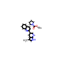 Cc1c[nH]c2ncc(-c3cc([C@@H]4CCCN4C(=O)OC(C)(C)C)c4ccccc4n3)cc12